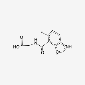 O=C(O)CNC(=O)c1c(F)ccc2[nH]cnc12